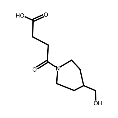 O=C(O)CCC(=O)N1CCC(CO)CC1